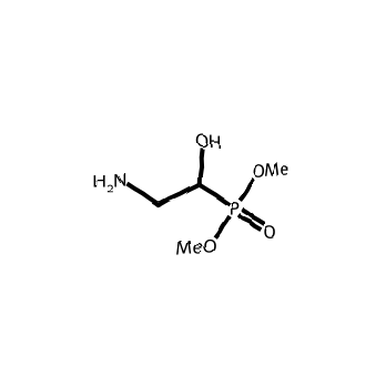 COP(=O)(OC)C(O)CN